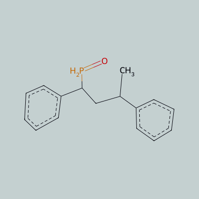 CC(CC([PH2]=O)c1ccccc1)c1ccccc1